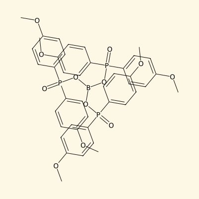 COc1ccc(P(=O)(OB(OP(=O)(c2ccc(OC)cc2)c2ccc(OC)cc2)OP(=O)(c2ccc(OC)cc2)c2ccc(OC)cc2)c2ccc(OC)cc2)cc1